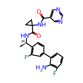 C[C@@H](NC(=O)C1(NC(=O)c2cncnc2)CC1)c1ccc(-c2cccc(F)c2N)cc1F